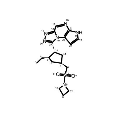 CC[C@@H]1C[C@H](CS(=O)(=O)N2CCC2)C[C@H]1c1nnc2cnc3[nH]ccc3n12